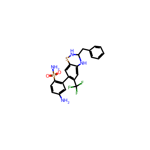 Nc1ccc(S(N)(=O)=O)c(-c2cc3c(cc2C(F)(F)F)NC(Cc2ccccc2)NS3)c1